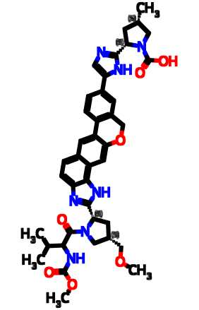 COC[C@H]1C[C@@H](c2nc3ccc4cc5c(cc4c3[nH]2)OCc2cc(-c3cnc([C@@H]4C[C@H](C)CN4C(=O)O)[nH]3)ccc2-5)N(C(=O)C(NC(=O)OC)C(C)C)C1